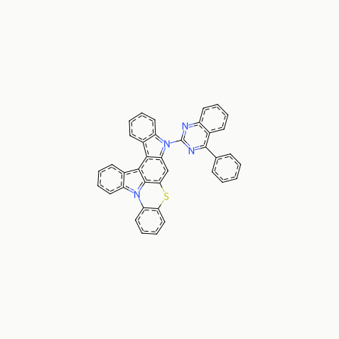 c1ccc(-c2nc(-n3c4ccccc4c4c5c6ccccc6n6c5c(cc43)Sc3ccccc3-6)nc3ccccc23)cc1